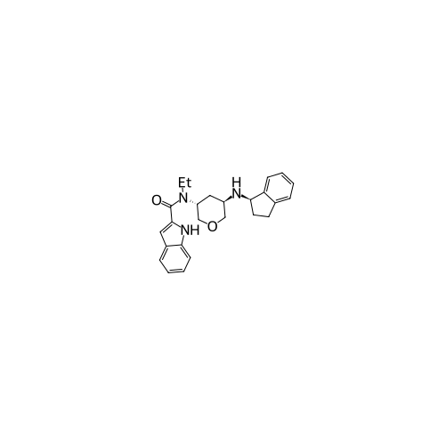 CCN(C(=O)c1cc2ccccc2[nH]1)[C@H]1COC[C@H](N[C@@H]2CCc3ccccc32)C1